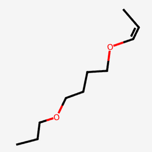 C/C=C\OCCCCOCCC